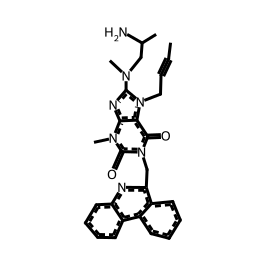 CC#CCn1c(N(C)CC(C)N)nc2c1c(=O)n(Cc1nc3ccccc3c3ccccc13)c(=O)n2C